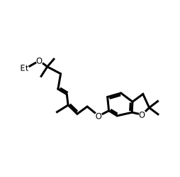 CCOC(C)(C)CC=CC(C)=CCOc1ccc2c(c1)OC(C)(C)C2